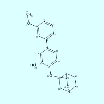 COc1cccc(-c2ccc(OC3CN4CCC3CC4)cc2)c1.Cl